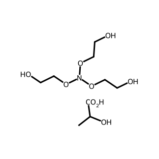 CC(O)C(=O)O.OCCON(OCCO)OCCO